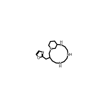 c1coc(CC2CCNCCNCCNC3CCCN(C2)C3)n1